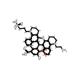 CCCN1CCCc2c3c(c4ccccc4c21)C(c1c(Cl)c(C(=O)O)cc(Cl)c1C(=O)O)=c1c(c2c(c4ccccc14)=[N+](CCCS(=O)(=O)O)CCC2)O3